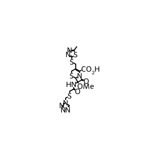 COC1(NC(=O)CSCn2cnnn2)C(=O)N2C(C(=O)O)=C(CSc3nnc(C)s3)CSC21